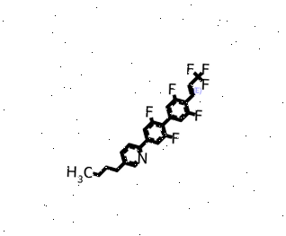 CCCCc1ccc(-c2cc(F)c(-c3cc(F)c(/C=C/C(F)(F)F)c(F)c3)c(F)c2)nc1